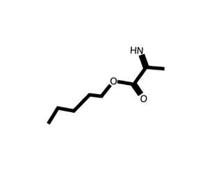 CCCCCOC(=O)C(C)=N